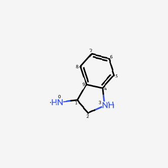 [NH]C1CNc2ccccc21